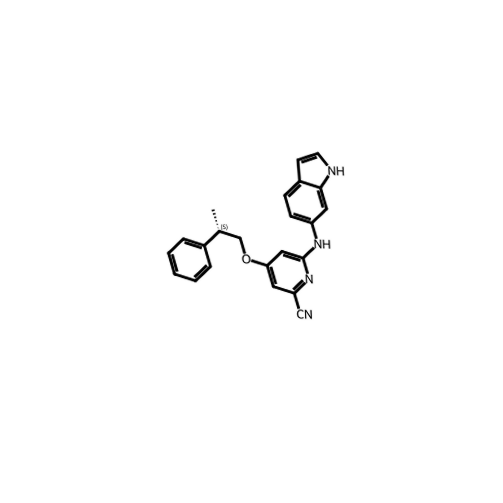 C[C@H](COc1cc(C#N)nc(Nc2ccc3cc[nH]c3c2)c1)c1ccccc1